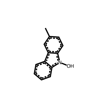 Cc1ccc2c(c1)c1ccccc1n2O